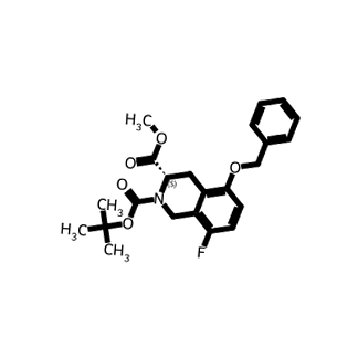 COC(=O)[C@@H]1Cc2c(OCc3ccccc3)ccc(F)c2CN1C(=O)OC(C)(C)C